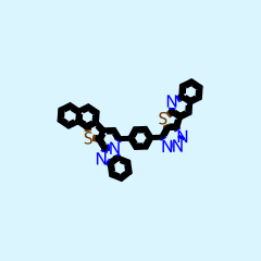 c1ccc2nc3sc4c(-c5ccc(-c6cc7c8ccc9ccccc9c8sc7c7nc8ccccc8n67)cc5)nnnc4c3cc2c1